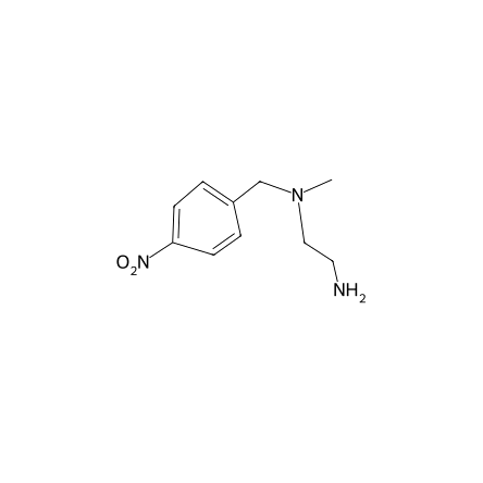 CN(CCN)Cc1ccc([N+](=O)[O-])cc1